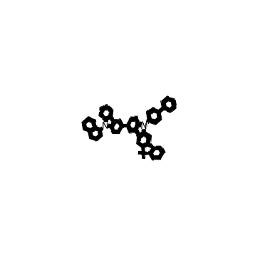 CC1(C)c2ccccc2-c2cc3c(cc21)c1cc(-c2ccc4c(c2)c2ccccc2n4-c2cccc4ccccc24)ccc1n3-c1ccc(-c2ccccc2)cc1